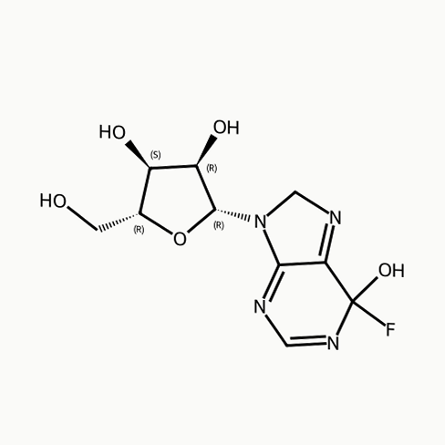 OC[C@H]1O[C@@H](N2CN=C3C2=NC=NC3(O)F)[C@H](O)[C@@H]1O